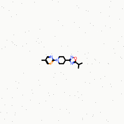 Cc1cnc(N2CCC(c3noc(C(C)C)n3)CC2)pc1